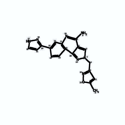 Cc1cc(Cn2cc3c(N)nc4cc(-c5cc[nH]n5)ccc4c3n2)no1